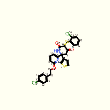 O=C1CC(c2ccsc2)(c2cccc(OCCc3ccc(Cl)cc3)n2)NC(=O)C1Sc1ccccc1Cl